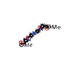 COC(=O)Cc1ccc2oc(-c3ccc(N=Nc4ccc(-c5nc6cc(CC(=O)OC)ccc6o5)cc4)cc3)nc2c1